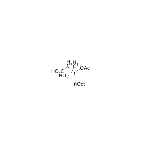 CC(=O)O.CC(=O)O.CCCCCCCCCOC(C)=O